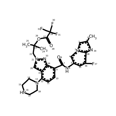 Cc1cn2cc(NC(=O)c3ccc(N4CCNCC4)c4cn(CC(C)(C)OC(=O)C(F)(F)F)nc34)cc(F)c2n1